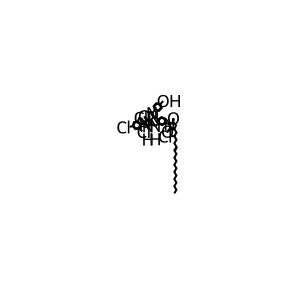 CCCCCCCCCCCCC=CCCC(Cl)CC1CC(=O)N(c2cccc(Nc3[nH]n(-c4c(Cl)cc(Cl)cc4Cl)c(=O)c3N=Nc3ccc(O)cc3)c2)C1=O